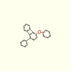 c1ccc(Oc2ccc(-c3ccccc3)c3c2-c2ccccc2-3)cc1